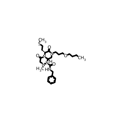 CCCCOCCCN1C[C@H]2N(C(=O)CN(C)N2C(=O)NCc2ccccc2)[C@@H](CCSC)C1=O